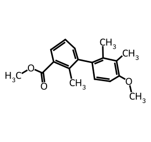 COC(=O)c1cccc(-c2ccc(OC)c(C)c2C)c1C